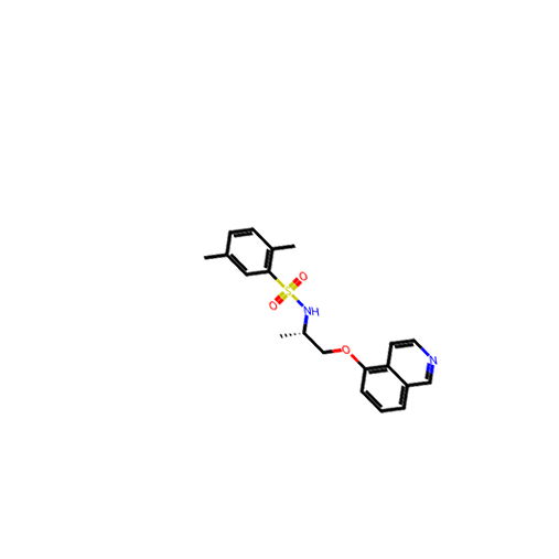 Cc1ccc(C)c(S(=O)(=O)N[C@@H](C)COc2cccc3cnccc23)c1